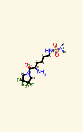 CN(C)S(=O)(=O)NCCCCC(N)C(=O)N1CC(F)(F)C(F)(F)C1